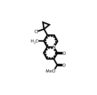 COC(=O)c1ccc2c(C)c(C3(Cl)CC3)ccn2c1=O